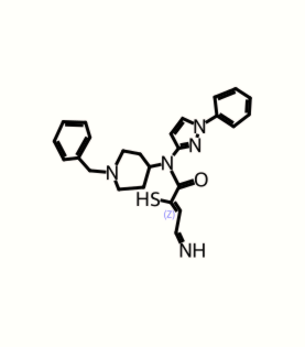 N=C/C=C(\S)C(=O)N(c1ccn(-c2ccccc2)n1)C1CCN(Cc2ccccc2)CC1